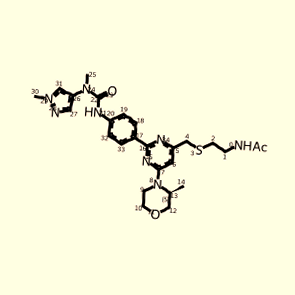 CC(=O)NCCSCc1cc(N2CCOC[C@@H]2C)nc(-c2ccc(NC(=O)N(C)c3cnn(C)c3)cc2)n1